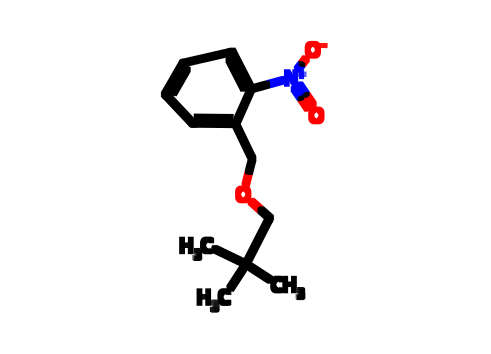 CC(C)(C)COCc1ccccc1[N+](=O)[O-]